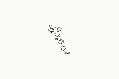 CCc1nnc(SCC(=O)Nc2nnc(-c3ccc(OC)cc3)s2)n1CC1CCCO1